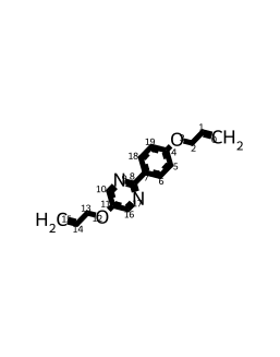 C=CCOc1ccc(-c2ncc(OCC=C)cn2)cc1